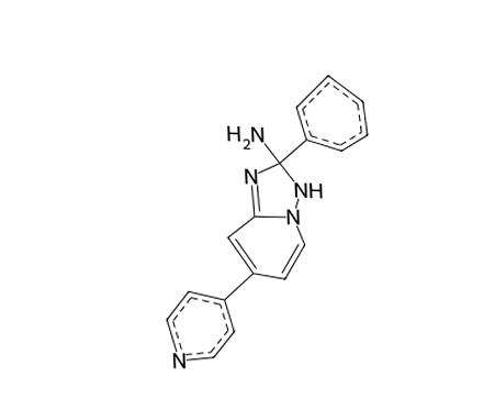 NC1(c2ccccc2)N=C2C=C(c3ccncc3)C=CN2N1